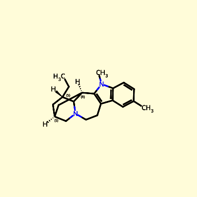 CC[C@H]1C[C@H]2C[C@H]3c4c(c5cc(C)ccc5n4C)CCN(C2)C13